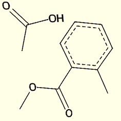 CC(=O)O.COC(=O)c1ccccc1C